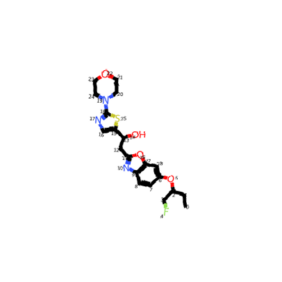 CCC(CF)Oc1ccc2nc(CC(O)c3cnc(N4CCOCC4)s3)oc2c1